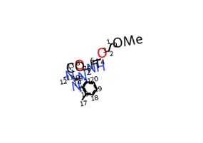 COCCOCCNC(=O)n1c(N(C)C(=O)O)nc2c(C)cccc21